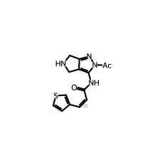 CC(=O)n1nc2c(c1NC(=O)/C=C\c1ccsc1)CNC2